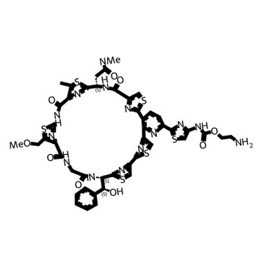 CNC(=O)C[C@@H]1NC(=O)c2csc(n2)-c2ccc(-c3nc(NC(=O)OCCN)cs3)nc2-c2csc(n2)-c2csc(n2)[C@H]([C@@H](O)c2ccccc2)NC(=O)CNC(=O)c2nc(sc2COC)NC(=O)c2nc1sc2C